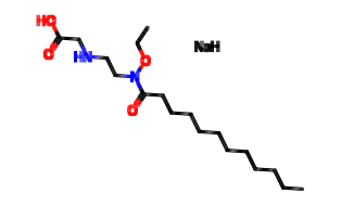 CCCCCCCCCCCC(=O)N(CCNCC(=O)O)OCC.[NaH]